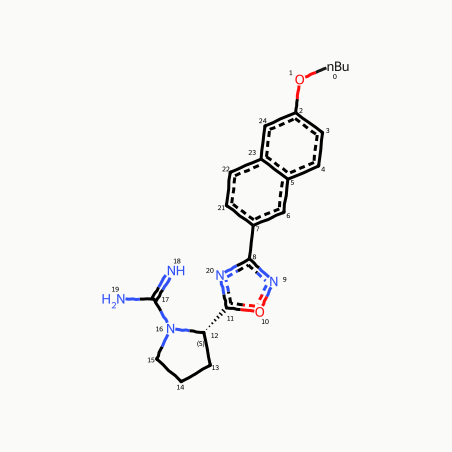 CCCCOc1ccc2cc(-c3noc([C@@H]4CCCN4C(=N)N)n3)ccc2c1